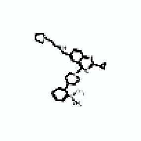 CN(C)c1ccccc1C1CCN(c2nc(C3CC3)nc3ccc(CNCCN4CCCC4)cc23)CC1